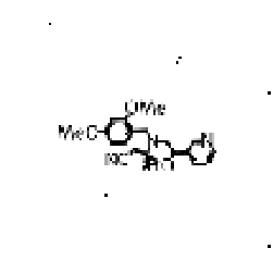 COc1ccc(CN(CC(O)c2cccnc2)C2(CC#N)CC2)c(OC)c1